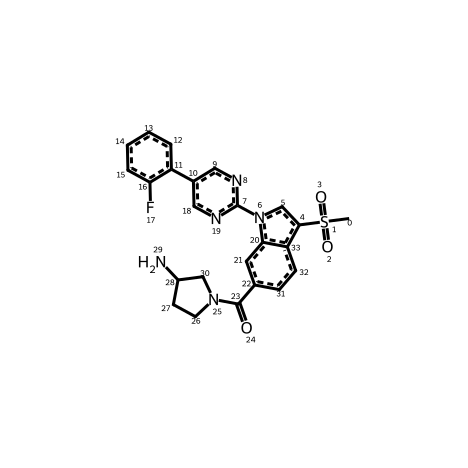 CS(=O)(=O)c1cn(-c2ncc(-c3ccccc3F)cn2)c2cc(C(=O)N3CCC(N)C3)ccc12